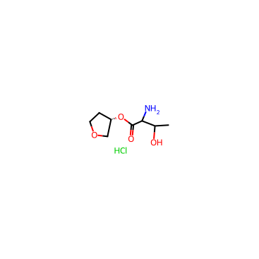 CC(O)C(N)C(=O)O[C@H]1CCOC1.Cl